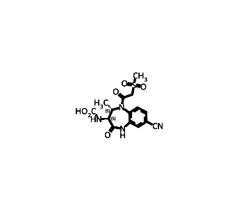 C[C@H]1[C@H](NC(=O)O)C(=O)Nc2cc(C#N)ccc2N1C(=O)CS(C)(=O)=O